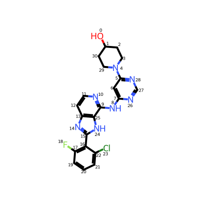 OC1CCN(c2cc(Nc3nccc4nc(-c5c(F)cccc5Cl)[nH]c34)ncn2)CC1